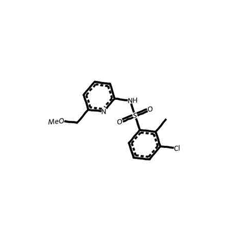 COCc1cccc(NS(=O)(=O)c2cccc(Cl)c2C)n1